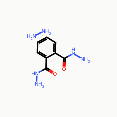 NN.NNC(=O)c1ccccc1C(=O)NN